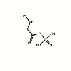 CCCNCC(=N)NP(=O)(O)O